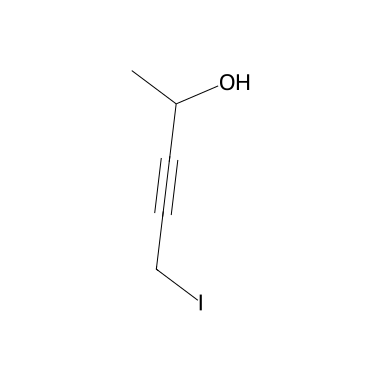 CC(O)C#CCI